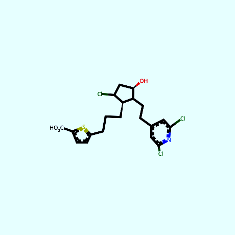 O=C(O)c1ccc(CCC[C@H]2C(Cl)C[C@@H](O)C2CCc2cc(Cl)nc(Cl)c2)s1